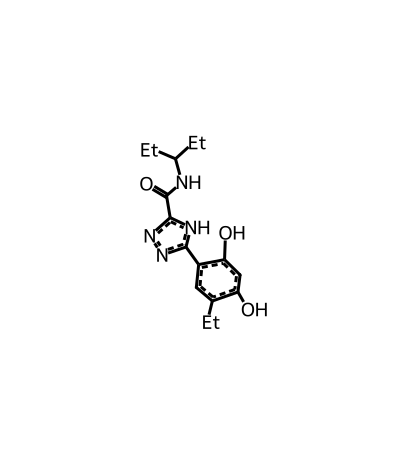 CCc1cc(-c2nnc(C(=O)NC(CC)CC)[nH]2)c(O)cc1O